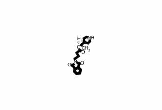 CC(C)(OC(=O)CCCN1C(=O)c2ccccc2C1=O)C1CCNCC1